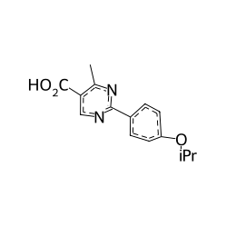 Cc1nc(-c2ccc(OC(C)C)cc2)ncc1C(=O)O